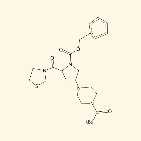 CC(C)(C)C(=O)N1CCN(C2CC(C(=O)N3CCSC3)N(C(=O)OCc3ccccc3)C2)CC1